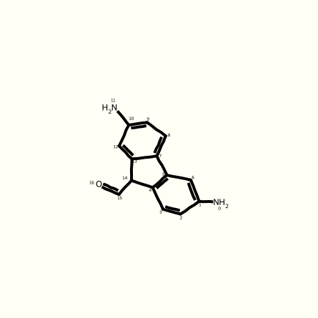 Nc1ccc2c(c1)-c1ccc(N)cc1C2C=O